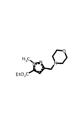 CCOC(=O)c1cc(CN2CCOCC2)nn1C